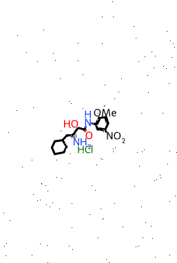 COc1ccc([N+](=O)[O-])cc1NC(=O)C(O)[C@H](N)CC1CCCCC1.Cl